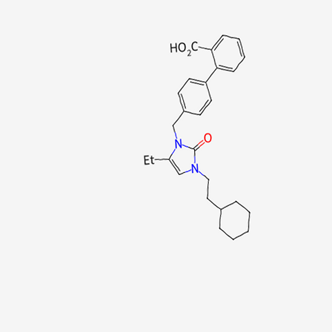 CCc1cn(CCC2CCCCC2)c(=O)n1Cc1ccc(-c2ccccc2C(=O)O)cc1